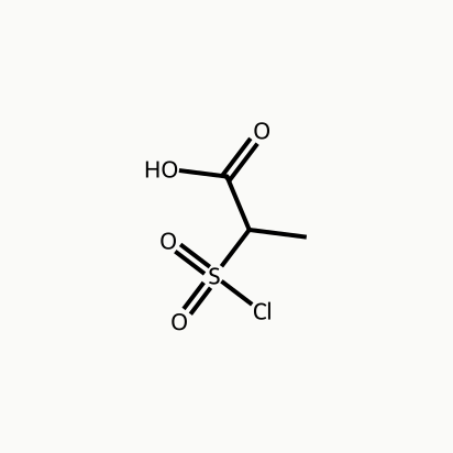 CC(C(=O)O)S(=O)(=O)Cl